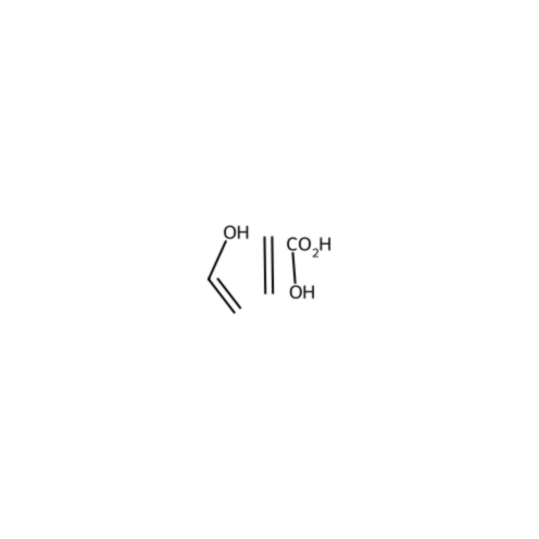 C=C.C=CO.O=C(O)O